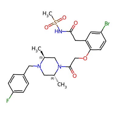 C[C@@H]1CN(Cc2ccc(F)cc2)[C@@H](C)CN1C(=O)COc1ccc(Br)cc1CC(=O)NS(C)(=O)=O